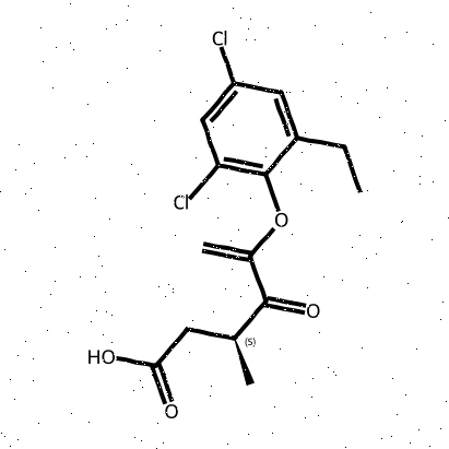 C=C(Oc1c(Cl)cc(Cl)cc1CC)C(=O)[C@@H](C)CC(=O)O